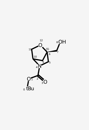 CC(C)(C)OC(=O)N1C[C@]2(CO)CC1CO2